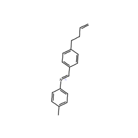 C=CCCc1ccc(/C=N/c2ccc(C)cc2)cc1